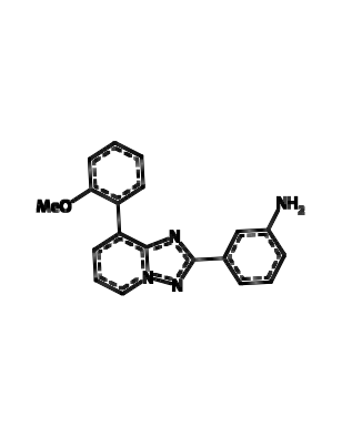 COc1ccccc1-c1cccn2nc(-c3cccc(N)c3)nc12